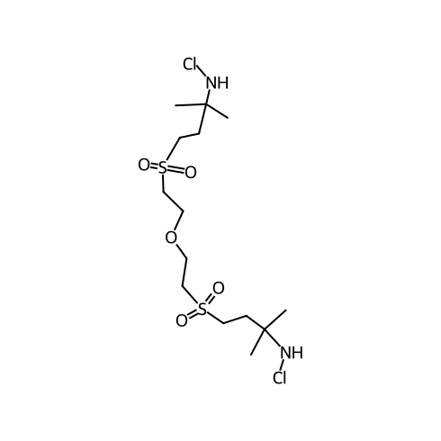 CC(C)(CCS(=O)(=O)CCOCCS(=O)(=O)CCC(C)(C)NCl)NCl